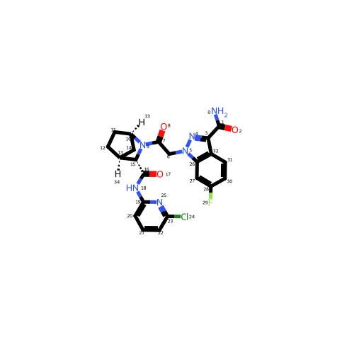 NC(=O)c1nn(CC(=O)N2[C@@H]3CC[C@@H](C3)[C@H]2C(=O)Nc2cccc(Cl)n2)c2cc(F)ccc12